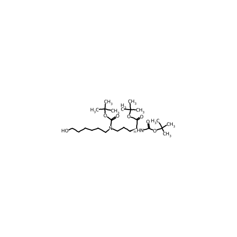 CC(C)(C)OC(=O)N[C@@H](CCCN(CCCCCCO)C(=O)OC(C)(C)C)C(=O)OC(C)(C)C